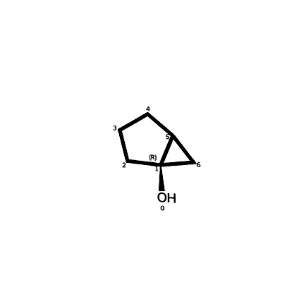 O[C@@]12CCCC1C2